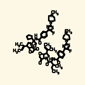 CC=C(C)C1CN(C(=O)C(NC(=O)c2ccc(-c3nc(N4CCN(C)CC4)sc3F)cc2)C(C)CC)C2C(=O)COC12.CC=C(C)C1CN(C(C=O)(NC(=O)c2ccc(-c3nc(N4CCN(C)CC4)sc3F)cc2)C2CCCC2)C2C(=O)COC12